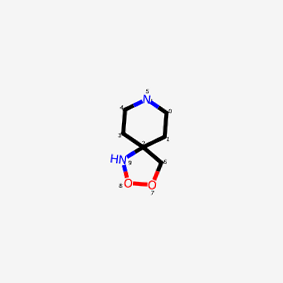 C1CC2(CC[N]1)COON2